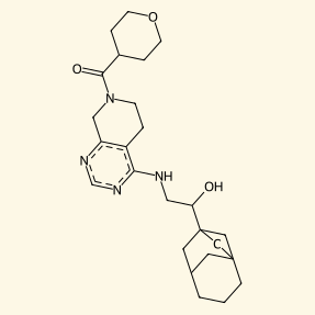 O=C(C1CCOCC1)N1CCc2c(ncnc2NCC(O)C23CC4CCCC(C4)(C2)C3)C1